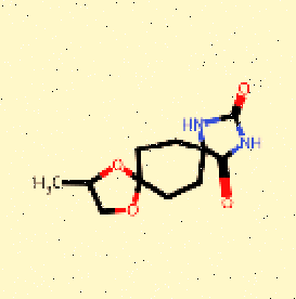 CC1COC2(CCC3(CC2)NC(=O)NC3=O)O1